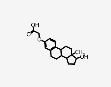 CC12CCC3c4ccc(OCC(=O)O)cc4CCC3C1CCC2O